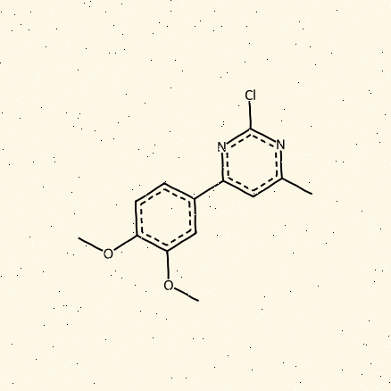 COc1ccc(-c2cc(C)nc(Cl)n2)cc1OC